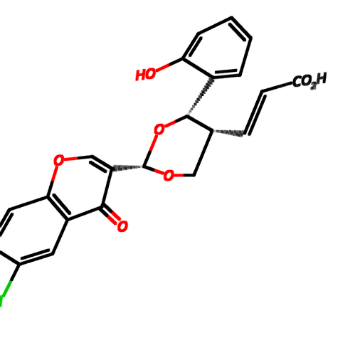 O=C(O)/C=C/[C@@H]1CO[C@H](c2coc3ccc(Cl)cc3c2=O)O[C@@H]1c1ccccc1O